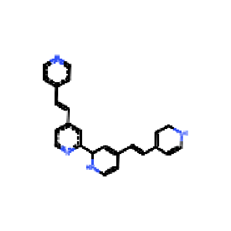 C1=CC(/C=C/C2=CC(c3cc(/C=C/c4ccncc4)ccn3)NC=C2)=CCN1